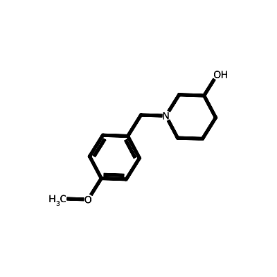 COc1ccc(CN2CCCC(O)C2)cc1